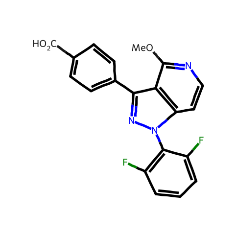 COc1nccc2c1c(-c1ccc(C(=O)O)cc1)nn2-c1c(F)cccc1F